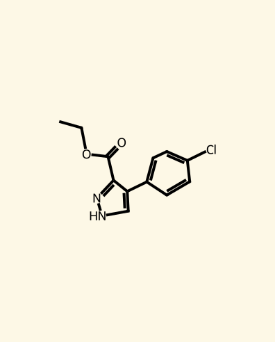 CCOC(=O)c1n[nH]cc1-c1ccc(Cl)cc1